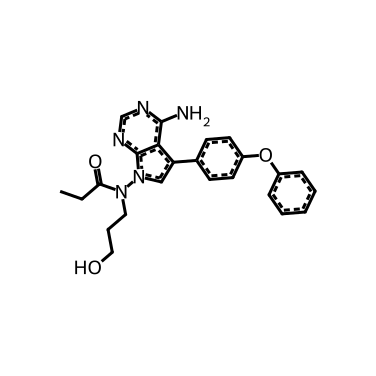 CCC(=O)N(CCCO)n1cc(-c2ccc(Oc3ccccc3)cc2)c2c(N)ncnc21